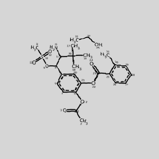 CC(=O)Oc1ccc(C(OS(C)(=O)=O)C(N)C(C)(C)C)cc1OC(=O)c1ccccc1C.CCO